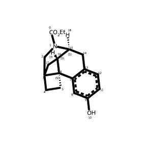 CCOC(=O)N1CC23CC[C@]24c2cc(O)ccc2C[C@H]1[C@H]4C3